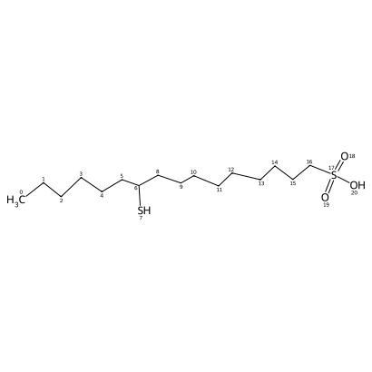 CCCCCCC(S)CCCCCCCCCS(=O)(=O)O